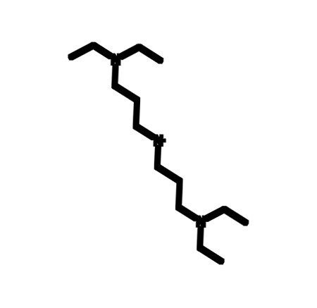 CCN(CC)CCC[N]CCCN(CC)CC